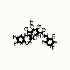 O=C(NCc1c(F)cc(F)cc1F)c1cn2c(c(O)c1=O)C(=O)N1C[C@H]2COc2cc(F)c(F)cc21